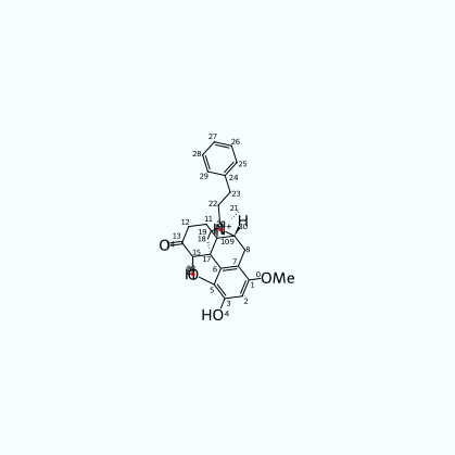 COc1cc(O)c2c3c1C[C@@H]1[C@@H]4CCC(=O)[C@H](O2)[C@]34CC[N@@+]1(C)CCc1ccccc1